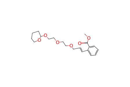 COC(=O)c1ccccc1/C=C/COCCOCCOC1CCCCO1